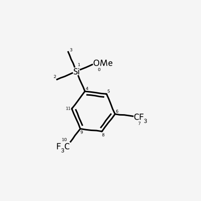 CO[Si](C)(C)c1cc(C(F)(F)F)cc(C(F)(F)F)c1